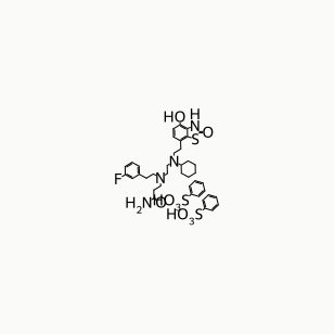 NC(=O)CCN(CCc1cccc(F)c1)CCN(CCc1ccc(O)c2[nH]c(=O)sc12)C1CCCCC1.O=S(=O)(O)c1ccccc1.O=S(=O)(O)c1ccccc1